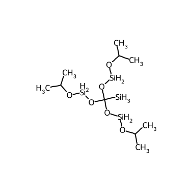 CC(C)O[SiH2]OC([SiH3])(O[SiH2]OC(C)C)O[SiH2]OC(C)C